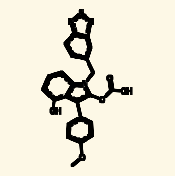 COc1ccc(-c2c(OC(=O)O)n(Cc3ccc4nsnc4c3)c3cccc(O)c23)cc1